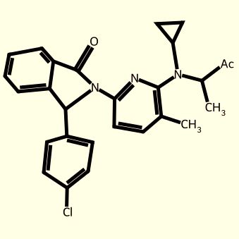 CC(=O)C(C)N(c1nc(N2C(=O)c3ccccc3C2c2ccc(Cl)cc2)ccc1C)C1CC1